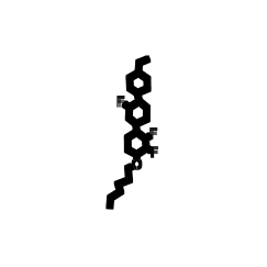 CCCCCCOC1CCC(C2CCC(C3CCC(CC)CC3)C(F)C2)C(F)C1F